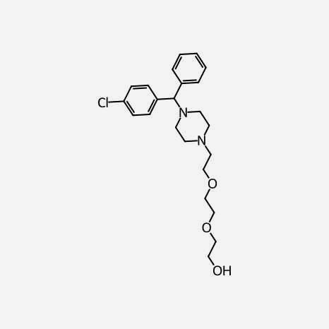 OCCOCCOCCN1CCN(C(c2ccccc2)c2ccc(Cl)cc2)CC1